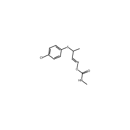 CNC(=O)ON=CC(C)Sc1ccc(Cl)cc1